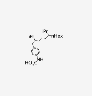 CCCCCCC(CCCC(Cc1ccc(NC(=O)O)cc1)C(C)C)C(C)C